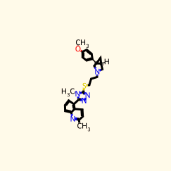 COc1ccc([C@@]23C[C@H]2CN(CCCSc2nnc(-c4cccc5nc(C)ccc45)n2C)C3)cc1